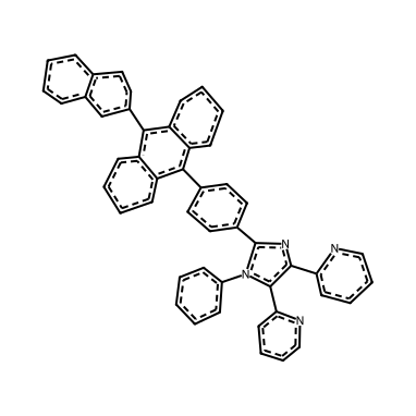 c1ccc(-n2c(-c3ccc(-c4c5ccccc5c(-c5ccc6ccccc6c5)c5ccccc45)cc3)nc(-c3ccccn3)c2-c2ccccn2)cc1